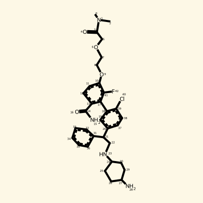 CN(C)C(=O)COCCOc1ccc(C(N)=O)c(-c2cc(C(CNC3CCC(N)CC3)c3ccccc3)ccc2Cl)c1F